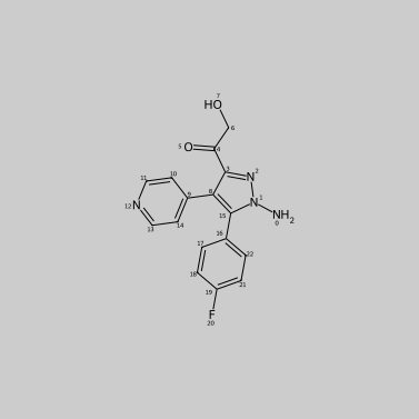 Nn1nc(C(=O)CO)c(-c2ccncc2)c1-c1ccc(F)cc1